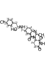 Cc1nc2ccc(CNC(O)Cc3ccc(Cl)cc3)cc2c(=O)n1C1CCC(=O)NC1=O